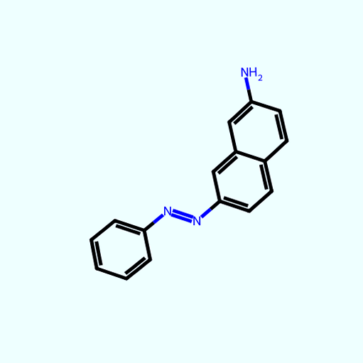 Nc1ccc2ccc(N=Nc3ccccc3)cc2c1